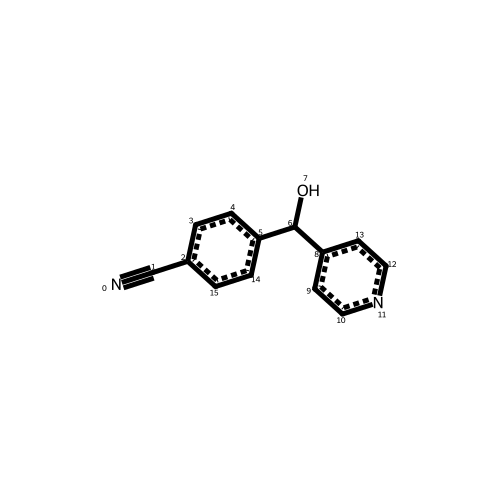 N#Cc1ccc(C(O)c2ccncc2)cc1